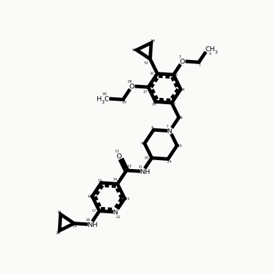 CCOc1cc(CN2CCC(NC(=O)c3ccc(NC4CC4)nc3)CC2)cc(OCC)c1C1CC1